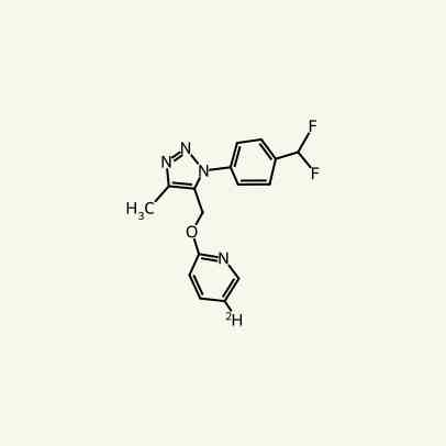 [2H]c1ccc(OCc2c(C)nnn2-c2ccc(C(F)F)cc2)nc1